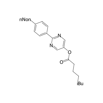 CCCCCCCCCc1ccc(-c2ncc(OC(=O)CCCC(C)CC)cn2)cc1